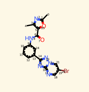 Cc1nc(C)c(C(=O)Nc2cccc(-c3nc4ncc(Br)cn4n3)c2)o1